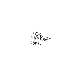 [Fe+2].[O-2].[Sr+2].[V+5]